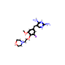 COc1cc(Cc2cnc(N)nc2N)cc(I)c1OCCN1CCOCC1